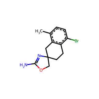 Cc1ccc(Br)c2c1CC1(CC2)COC(N)=N1